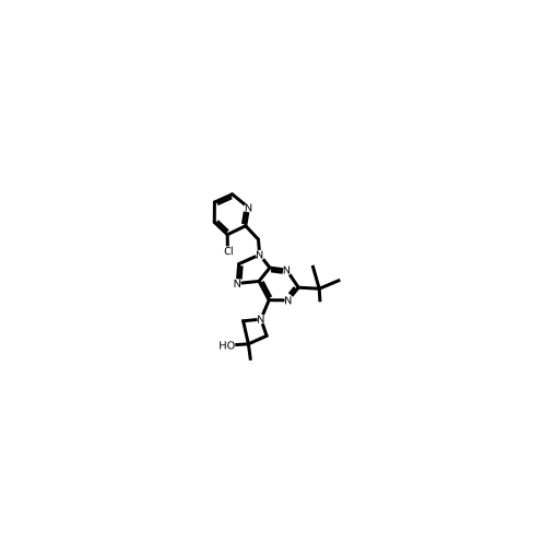 CC1(O)CN(c2nc(C(C)(C)C)nc3c2ncn3Cc2ncccc2Cl)C1